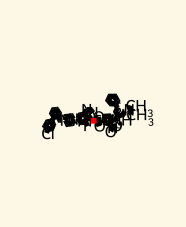 CN(C)CCC(CSc1ccccc1)Nc1ccc(S(=O)(=O)Nc2ncnc3cc(N4CCN(Cc5ccccc5-c5ccc(Cl)cc5)CC4)cc(F)c23)cc1[N+](=O)[O-]